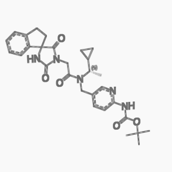 C[C@@H](C1CC1)N(Cc1ccc(NC(=O)OC(C)(C)C)nc1)C(=O)CN1C(=O)NC2(CCc3ccccc32)C1=O